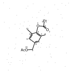 CCC(=O)Oc1c(C)cc(COC(C)=O)cc1C